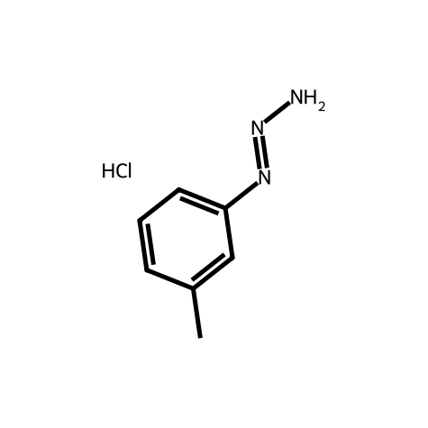 Cc1cccc(/N=N/N)c1.Cl